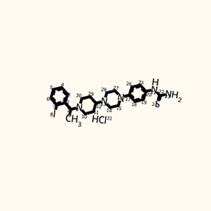 CC(c1ccccc1I)N1CCC(N2CCN(c3ccc(NC(N)=S)cc3)CC2)CC1.Cl